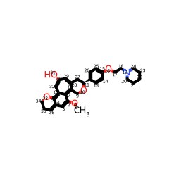 COc1cc2c(c3c1=C1CO[C@H](c4ccc(OCCN5CCCCC5)cc4)CC1=CC(O)=C3)OCCC=2